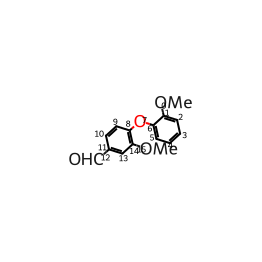 COc1ccccc1Oc1ccc(C=O)cc1OC